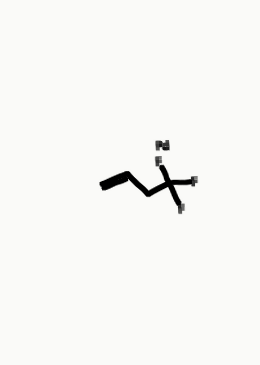 C=CCC(F)(F)F.[Pd]